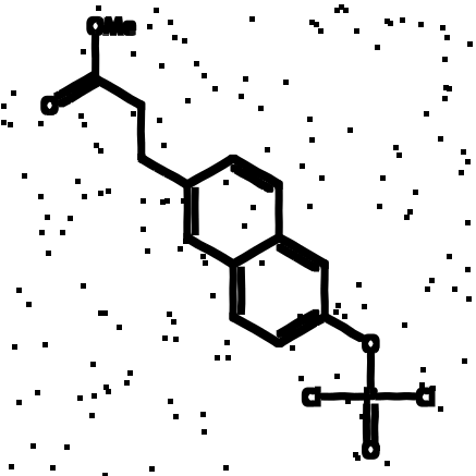 COC(=O)CCc1ccc2cc(OP(=O)(Cl)Cl)ccc2c1